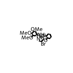 COc1cc(Nc2ncc(Br)c(Oc3ccccc3N)n2)cc(OC)c1OC